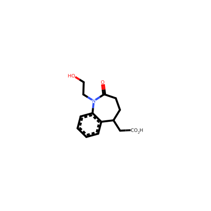 O=C(O)CC1CCC(=O)N(CCO)c2ccccc21